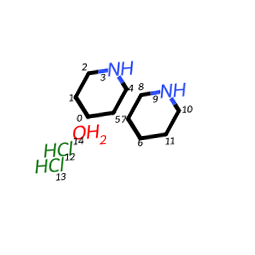 C1CCNCC1.C1CCNCC1.Cl.Cl.O